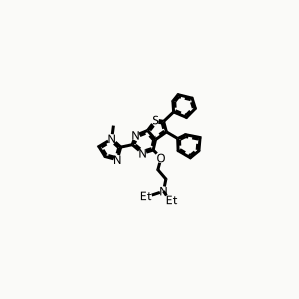 CCN(CC)CCOc1nc(-c2nccn2C)nc2sc(-c3ccccc3)c(-c3ccccc3)c12